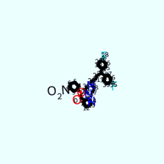 O=C(Oc1cccc([N+](=O)[O-])c1)c1cccnc1N1CCN(CCCC(c2ccc(F)cc2)c2ccc(F)cc2)CC1